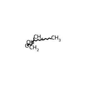 C=C(CCC(CC)CCCCCCCCCC)C(=O)O